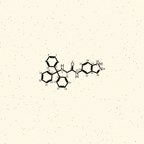 O=C(CNC(c1ccccc1)(c1ccccc1)c1ccccc1)Nc1ccc2[nH]ncc2c1